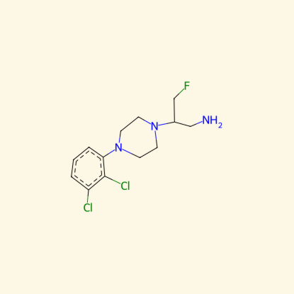 NCC(CF)N1CCN(c2cccc(Cl)c2Cl)CC1